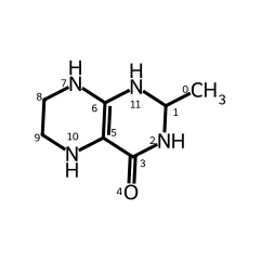 CC1NC(=O)C2=C(NCCN2)N1